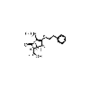 C[C@@H](O)[C@H]1C(=O)N2C(C(=O)O)=C(SCCc3ccccc3)[C@H](C)[C@H]12